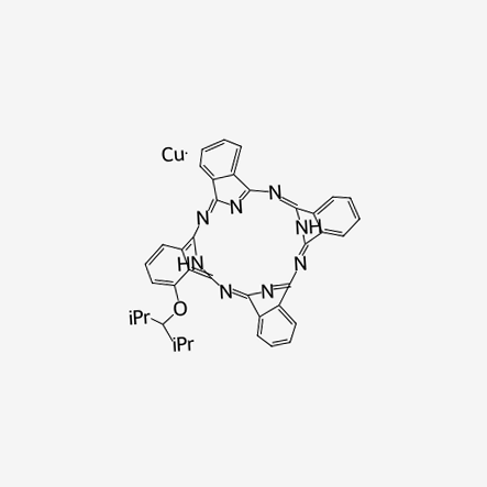 CC(C)C(Oc1cccc2c3nc4nc(nc5[nH]c(nc6nc(nc([nH]3)c12)-c1ccccc1-6)c1ccccc51)-c1ccccc1-4)C(C)C.[Cu]